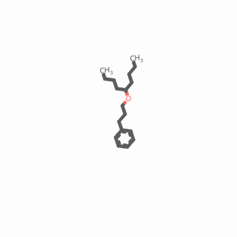 CCCC[C](CCCC)OCCCc1ccccc1